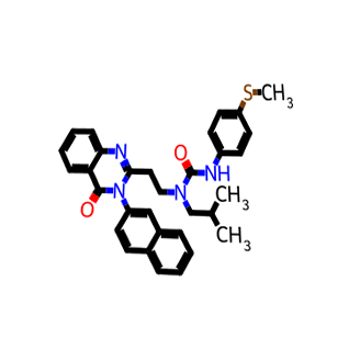 CSc1ccc(NC(=O)N(CCc2nc3ccccc3c(=O)n2-c2ccc3ccccc3c2)CC(C)C)cc1